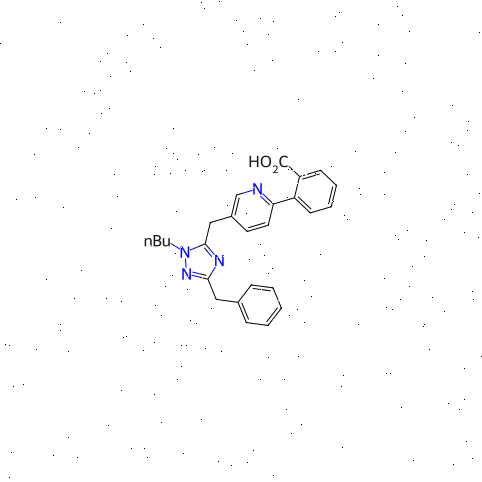 CCCCn1nc(Cc2ccccc2)nc1Cc1ccc(-c2ccccc2C(=O)O)nc1